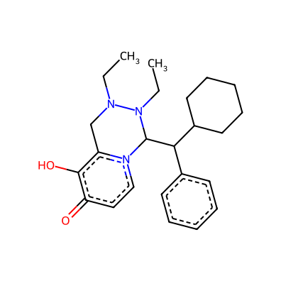 CCN1Cc2c(O)c(=O)ccn2C(C(c2ccccc2)C2CCCCC2)N1CC